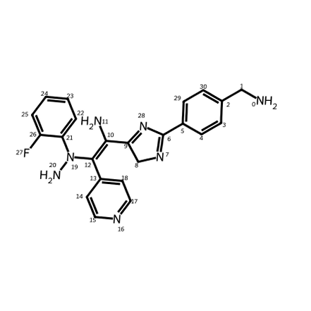 NCc1ccc(C2=NCC(/C(N)=C(\c3ccncc3)N(N)c3ccccc3F)=N2)cc1